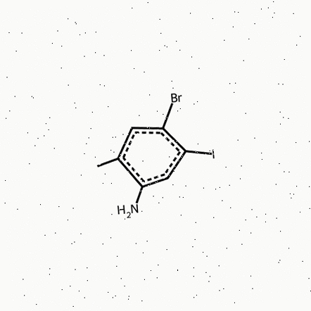 Cc1cc(Br)c(I)cc1N